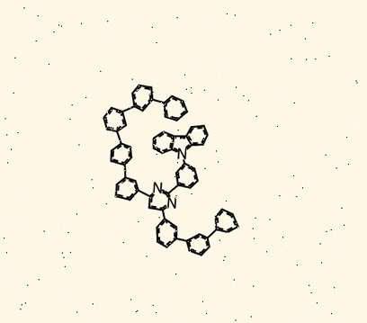 c1ccc(-c2cccc(-c3cccc(-c4ccc(-c5cccc(-c6cc(-c7cccc(-c8cccc(-c9ccccc9)c8)c7)nc(-c7cccc(-n8c9ccccc9c9ccccc98)c7)n6)c5)cc4)c3)c2)cc1